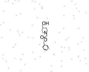 O=C(CN1CCC(CO)CC1)OCc1ccccc1